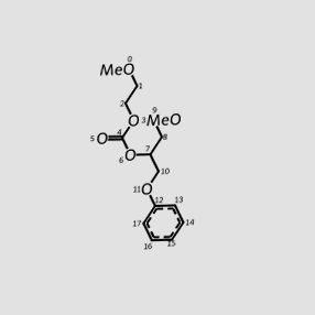 COCCOC(=O)OC(COC)COc1ccccc1